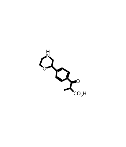 CC(C(=O)O)C(=O)c1ccc(C2CNCCO2)cc1